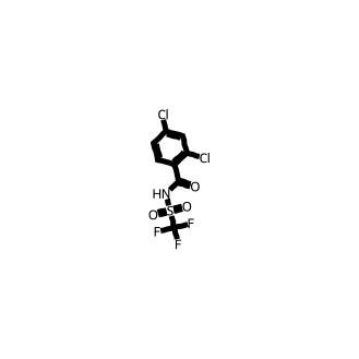 O=C(NS(=O)(=O)C(F)(F)F)c1ccc(Cl)cc1Cl